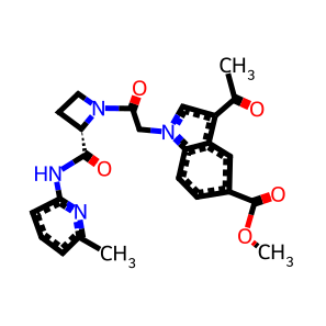 COC(=O)c1ccc2c(c1)c(C(C)=O)cn2CC(=O)N1CC[C@H]1C(=O)Nc1cccc(C)n1